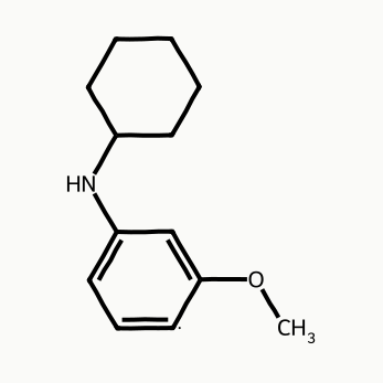 COc1[c]ccc(NC2CCCCC2)c1